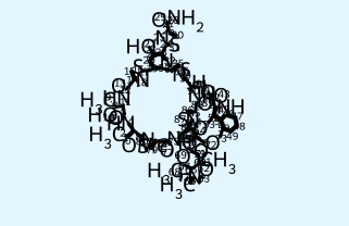 CO/C(C)=C1/NC(=O)[C@H]([C@@H](C)O)NC(=O)c2csc(n2)-c2cc(O)c(-c3nc(C(N)=O)cs3)nc2-c2csc(n2)[C@@H]2COC(=O)c3[nH]c4cccc5c4c3COC([C@H](O[C@H]3C[C@]4(C)OCN(C)[C@@H]4[C@H](C)O3)C(=O)OC5)[C@H](NC(=O)c3csc1n3)c1nc(cs1)C(=O)N2